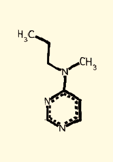 CCCN(C)c1ccn[c]n1